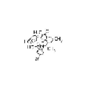 C#C/C=C\C(=C/C)c1oc2c(C(C)Nc3ccc(Br)cc3C(=O)O)cc(C)cc2c(=O)c1C